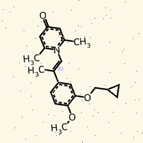 COc1ccc(/C(C)=C/n2c(C)cc(=O)cc2C)cc1OCC1CC1